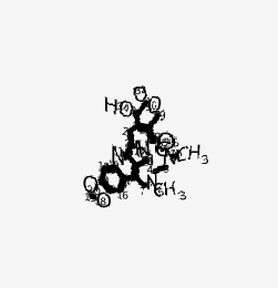 CN(C)CCN(C)Cc1c2c(nc3cc4c(cc13)OCO4)-c1cc3c(c(=O)n1C2)COC(=O)C3O